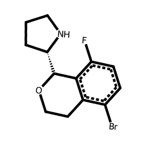 Fc1ccc(Br)c2c1C([C@@H]1CCCN1)OCC2